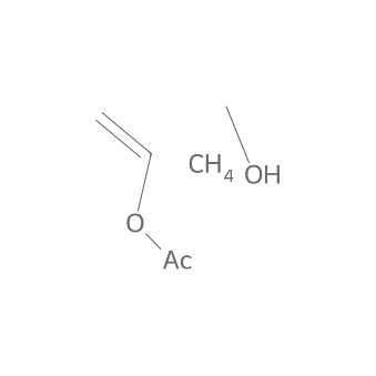 C.C=COC(C)=O.CO